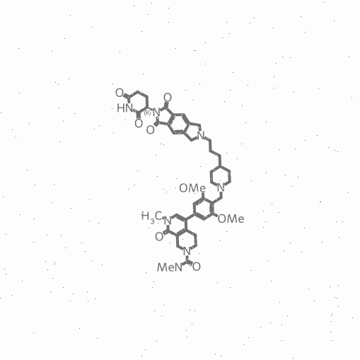 CNC(=O)N1CCc2c(-c3cc(OC)c(CN4CCC(CCCN5Cc6cc7c(cc6C5)C(=O)N([C@@H]5CCC(=O)NC5=O)C7=O)CC4)c(OC)c3)cn(C)c(=O)c2C1